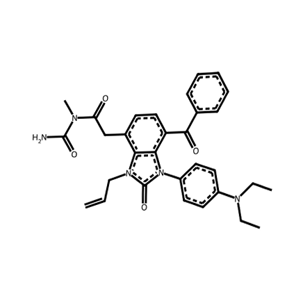 C=CCn1c(=O)n(-c2ccc(N(CC)CC)cc2)c2c(C(=O)c3ccccc3)ccc(CC(=O)N(C)C(N)=O)c21